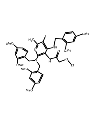 CCOCC(=O)Nc1c(N(Cc2ccc(OC)cc2OC)Cc2ccc(OC)cc2OC)nc(C)c(I)c1NCc1ccc(OC)cc1OC